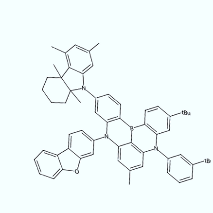 Cc1cc2c3c(c1)N(c1cccc(C(C)(C)C)c1)c1cc(C(C)(C)C)ccc1B3c1ccc(N3c4cc(C)cc(C)c4C4(C)CCCCC34C)cc1N2c1ccc2c(c1)oc1ccccc12